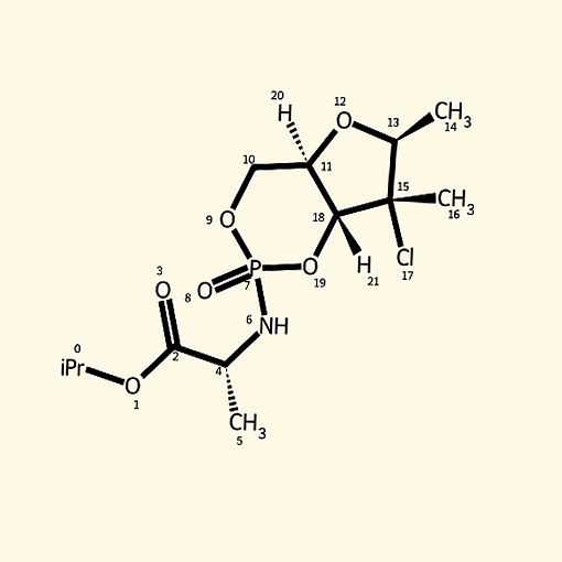 CC(C)OC(=O)[C@@H](C)NP1(=O)OC[C@H]2O[C@@H](C)[C@](C)(Cl)[C@@H]2O1